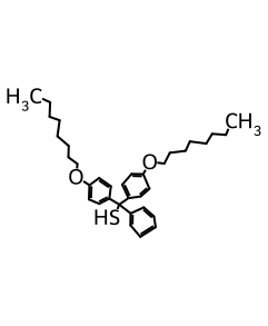 CCCCCCCCOc1ccc(C(S)(c2ccccc2)c2ccc(OCCCCCCCC)cc2)cc1